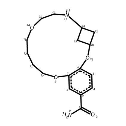 NC(=O)c1ccc2c(c1)OCCCCOCCNC1CC(C1)O2